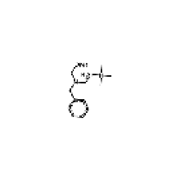 COCN(C[SiH2][N+](C)(C)C)Cc1ccccc1